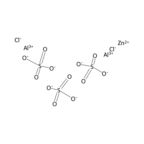 O=S(=O)([O-])[O-].O=S(=O)([O-])[O-].O=S(=O)([O-])[O-].[Al+3].[Al+3].[Cl-].[Cl-].[Zn+2]